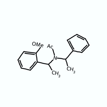 COc1ccccc1C(C)N(C(C)=O)C(C)c1ccccc1